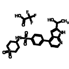 CC(O)c1cc2c(-c3ccc(S(=O)(=O)NC4CCS(=O)(=O)CC4)cc3)ccnc2[nH]1.O=C(O)C(F)(F)F